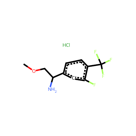 COCC(N)c1ccc(C(F)(F)F)c(F)c1.Cl